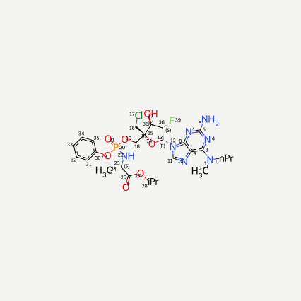 CCCN(C)c1nc(N)nc2c1ncn2[C@@H]1O[C@](CCl)(COP(=O)(N[C@@H](C)C(=O)OC(C)C)Oc2ccccc2)[C@@H](O)[C@@H]1F